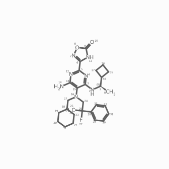 C[C@@H](Nc1nc(-c2noc(=O)[nH]2)nc(N)c1N(CC1CCCCC1)CC(C)(F)c1ccccc1)C1CCC1